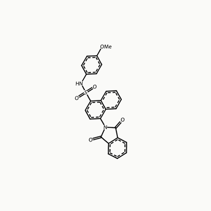 COc1ccc(NS(=O)(=O)c2ccc(N3C(=O)c4ccccc4C3=O)c3ccccc23)cc1